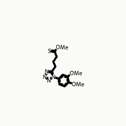 COC(=S)CCCc1nnnn1-c1ccc(OC)c(OC)c1